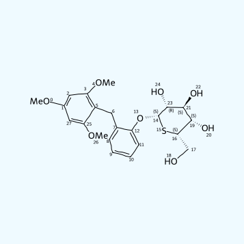 COc1cc(OC)c(Cc2ccccc2O[C@H]2S[C@@H](CO)[C@@H](O)[C@H](O)[C@H]2O)c(OC)c1